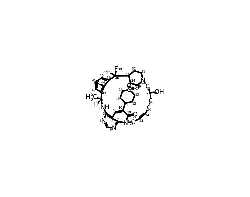 C[C@H]1Nc2ncnc3c2cc(C2CCS(=O)(=O)CC2)c(=O)n3C/C=C\CCC(O)CN2CCC(CC2)C(F)(F)c2cccc1c2F